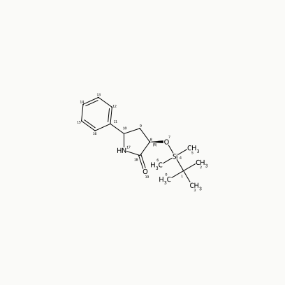 CC(C)(C)[Si](C)(C)O[C@@H]1CC(c2ccccc2)NC1=O